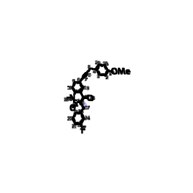 COc1ccc(CC#Cc2ccc3c(c2)C(=O)/C(=C/c2cccc(F)c2)[S+]([O-])N3C)cc1